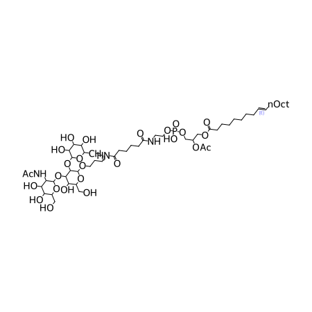 CCCCCCCC/C=C/CCCCCCCC(=O)OCC(COP(=O)(O)OCCNC(=O)CCCCC(=O)NCCCOC1OC(CO)C(O)C(OC2OC(CO)C(O)C(O)C2NC(C)=O)C1OC1OC(C)C(O)C(O)C1O)OC(C)=O